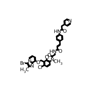 Cc1nc2c(OCc3c(Cl)ccc(N(C)C(=O)CNC(=O)C=Cc4ccc(NC(=O)Cc5ccncc5)cc4)c3Cl)cccn2c1Br